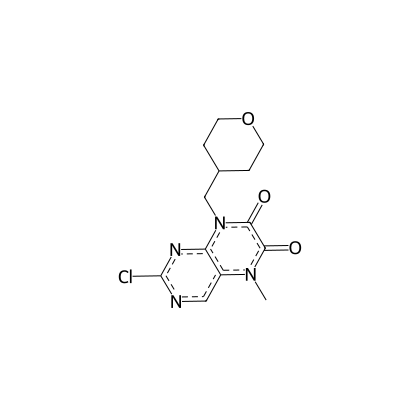 Cn1c(=O)c(=O)n(CC2CCOCC2)c2nc(Cl)ncc21